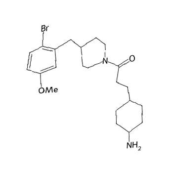 COc1ccc(Br)c(CC2CCN(C(=O)CCC3CCC(N)CC3)CC2)c1